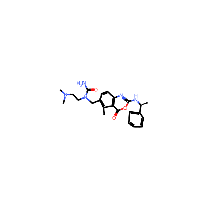 Cc1c(CN(CCN(C)C)C(N)=O)ccc2nc(N[C@@H](C)c3ccccc3)oc(=O)c12